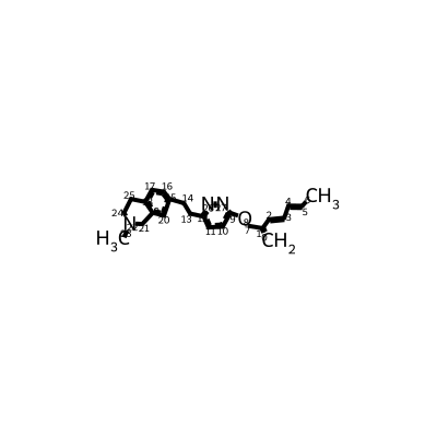 C=C(C=CC=CC)COc1ccc(CCc2ccc3c(c2)CN(C)CC3)nn1